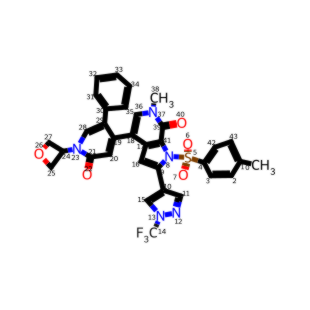 Cc1ccc(S(=O)(=O)n2c(-c3cnn(C(F)(F)F)c3)cc3c(-c4cc(=O)n(C5COC5)cc4-c4ccccc4)cn(C)c(=O)c32)cc1